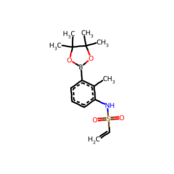 C=CS(=O)(=O)Nc1cccc(B2OC(C)(C)C(C)(C)O2)c1C